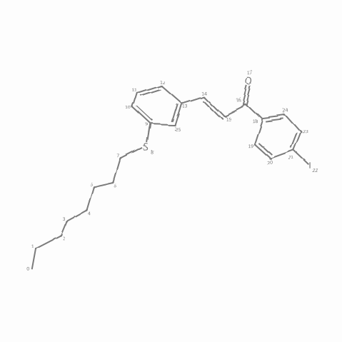 CCCCCCCCSc1cccc(C=CC(=O)c2ccc(I)cc2)c1